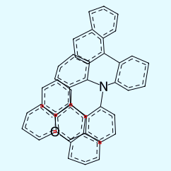 c1ccc2c(c1)OCc1cccc(N(c3ccccc3-c3cccc4ccccc34)c3ccccc3-c3cc4ccccc4c4ccccc34)c1-2